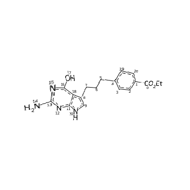 CCOC(=O)c1ccc(CCCc2c[nH]c3nc(N)nc(O)c23)cc1